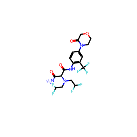 NC(=O)[C@@H](C(=O)Nc1ccc(N2CCOCC2=O)cc1C(F)(F)F)N(CC(F)F)CC(F)F